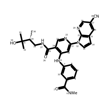 CNC(=O)c1cccc(Nc2cc(-n3ccc4cc(C#N)cnc43)ncc2C(=O)NC[C@@H](F)C(C)(C)O)c1